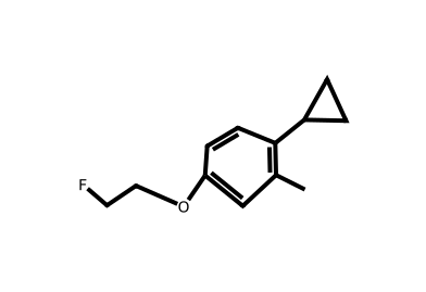 Cc1cc(OCCF)ccc1C1CC1